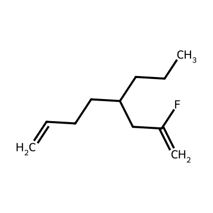 C=CCCC(CCC)CC(=C)F